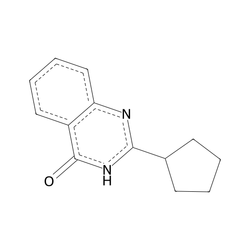 O=c1[nH]c(C2CCCC2)nc2ccccc12